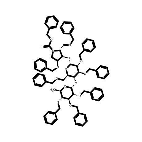 C[C@H]1O[C@H](O[C@H]2[C@H](OCc3ccccc3)[C@@H](OCc3ccccc3)[C@@H](O[C@H]3[C@@H](OCc4ccccc4)CN(C(=O)OCc4ccccc4)[C@@H]3COCc3ccccc3)O[C@@H]2COCc2ccccc2)[C@H](OCc2ccccc2)[C@@H](OCc2ccccc2)[C@@H]1OCc1ccccc1